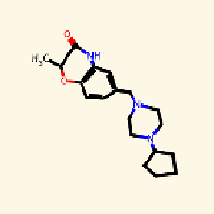 CC1Oc2ccc(CN3CCN(C4CCCC4)CC3)cc2NC1=O